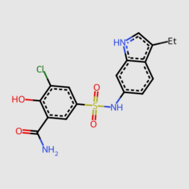 CCc1c[nH]c2cc(NS(=O)(=O)c3cc(Cl)c(O)c(C(N)=O)c3)ccc12